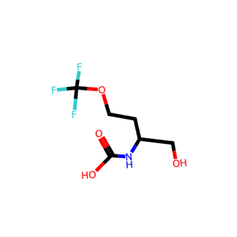 O=C(O)NC(CO)CCOC(F)(F)F